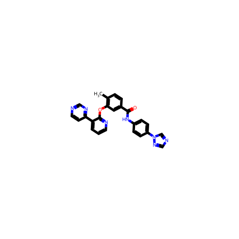 Cc1ccc(C(=O)Nc2ccc(-n3cncn3)cc2)cc1Oc1ncccc1-c1ccncn1